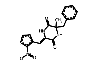 CC1(Cc2ccccc2)NC(=O)/C(=C/c2ccsc2[N+](=O)[O-])NC1=O